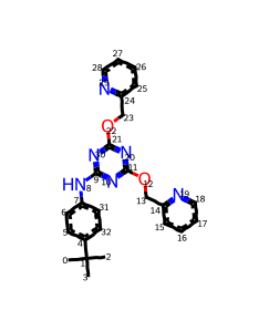 CC(C)(C)c1ccc(Nc2nc(OCc3ccccn3)nc(OCc3ccccn3)n2)cc1